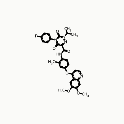 COc1cc2nccc(Oc3ccc(NC(=O)c4nn(C(C)C)c(=O)n(-c5ccc(F)cc5)c4=O)c(C)c3)c2cc1OC